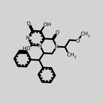 COCC(C)N1CC(C(c2c#cccc2)c2ccccc2)n2c(O)nc(=O)c(O)c2C1=O